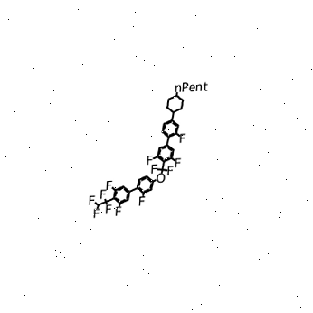 CCCCCC1CCC(c2ccc(-c3cc(F)c(C(F)(F)Oc4ccc(-c5cc(F)c(C(F)(F)C(F)F)c(F)c5)c(F)c4)c(F)c3)c(F)c2)CC1